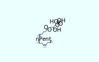 CCCCC/C=C\C/C=C\C/C=C\C/C=C\CCCC(=O)OCC(O)COP(=O)(O)O